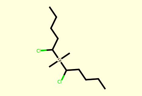 CCCCC(Cl)[Si](C)(C)C(Cl)CCCC